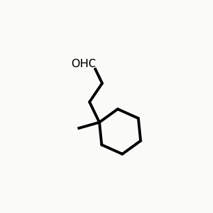 CC1(CCC=O)CCCCC1